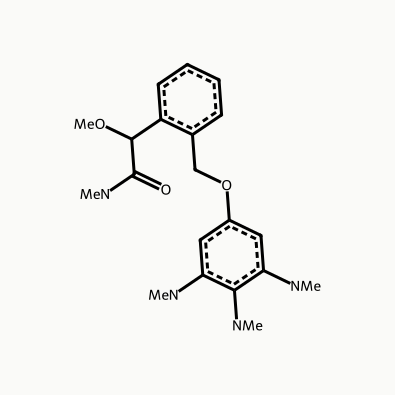 CNC(=O)C(OC)c1ccccc1COc1cc(NC)c(NC)c(NC)c1